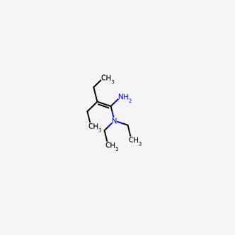 CCC(CC)=C(N)N(CC)CC